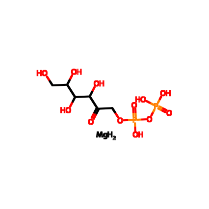 O=C(COP(=O)(O)OP(=O)(O)O)C(O)C(O)C(O)CO.[MgH2]